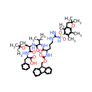 Cc1c(C)c(S(=O)(=O)NC(=N)NCCCC(NC(=O)OCC2c3ccccc3-c3ccccc32)C(=O)NC(C(=O)NC(COC(C)(C)C)C(=O)NC(Cc2ccccc2)C(=O)O)C(C)C)c(C)c2c1OC(C)(C)C2